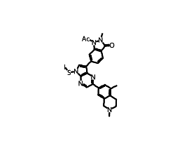 CC(=O)n1c2cc(-c3cn(SI)c4ncc(-c5cc(C)c6c(c5)CN(C)CC6)nc34)ccc2c(=O)n1C